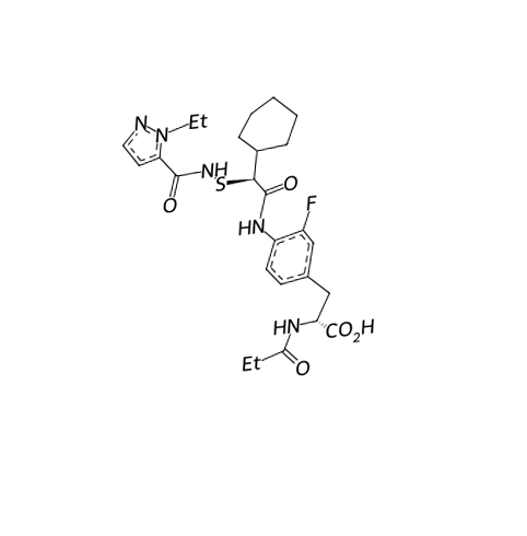 CCC(=O)N[C@H](Cc1ccc(NC(=O)[C@@H](SNC(=O)c2ccnn2CC)C2CCCCC2)c(F)c1)C(=O)O